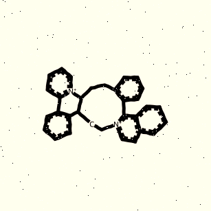 c1ccc2c(c1)CCC1C(CC[n+]3ccc4ccccc4c3-2)c2ccccc2-c2cccc[n+]21